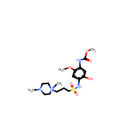 COC(=O)Nc1cc(O)c(NS(=O)(=O)CCC[N+]2(C)CCN(C)CC2)cc1OC